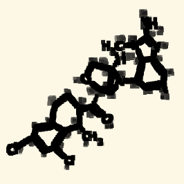 C[C@H]1c2c(Cl)cc(Cl)cc2CCN1C(=O)[C@@]12C[C@@H](CO1)N(c1cncc3nc(N)n(C)c13)C2